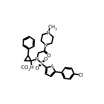 CN1CCN(C(=O)CN(C2(C(=O)O)CC2c2ccccc2)S(=O)(=O)c2ccc(-c3ccc(Cl)cc3)s2)CC1